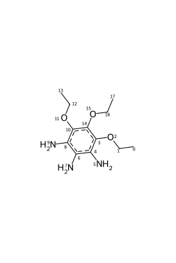 CCOc1c(N)c(N)c(N)c(OCC)c1OCC